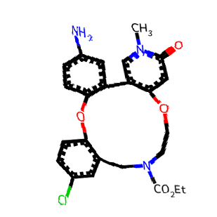 CCOC(=O)N1CCOc2cc(=O)n(C)cc2-c2cc(N)ccc2Oc2ccc(Cl)cc2C1